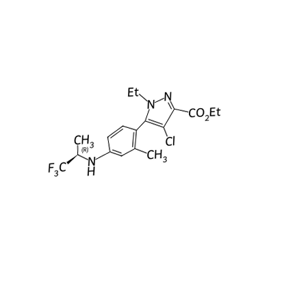 CCOC(=O)c1nn(CC)c(-c2ccc(N[C@H](C)C(F)(F)F)cc2C)c1Cl